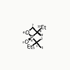 CCC(C)(C)P1(=O)OCC1(C)CC